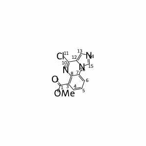 COC(=O)c1cccc2c1nc(Cl)c1cncn12